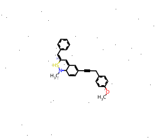 COc1ccc(CC#CC2=CC3=C/C(=C\c4ccccc4)[SH]N(C)C3C=C2)cc1